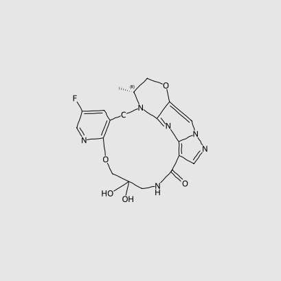 C[C@@H]1COc2cn3ncc4c3nc2N1Cc1cc(F)cnc1OCC(O)(O)CNC4=O